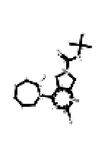 C[C@H]1CCCCCN1c1nc(Cl)nc2c1CN(C(=O)OC(C)(C)C)C2